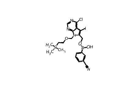 C[Si](C)(C)CCOCn1c(COB(O)c2cccc(C#N)c2)c(I)c2c(Cl)ncnc21